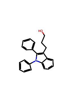 OCCCc1c(-c2ccccc2)n(-c2ccccc2)c2ccccc12